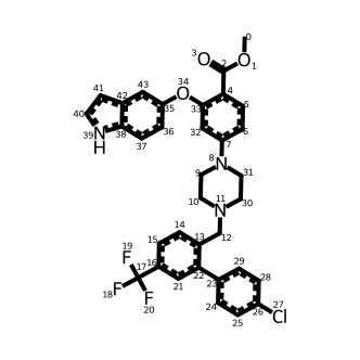 COC(=O)c1ccc(N2CCN(Cc3ccc(C(F)(F)F)cc3-c3ccc(Cl)cc3)CC2)cc1Oc1ccc2[nH]ccc2c1